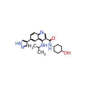 CC(C)Nc1c(C(=O)N[C@H]2CC[C@H](O)CC2)cnc2ccc(-c3cn[nH]c3)cc12